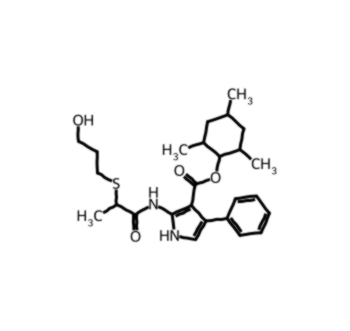 CC1CC(C)C(OC(=O)c2c(-c3ccccc3)c[nH]c2NC(=O)C(C)SCCCO)C(C)C1